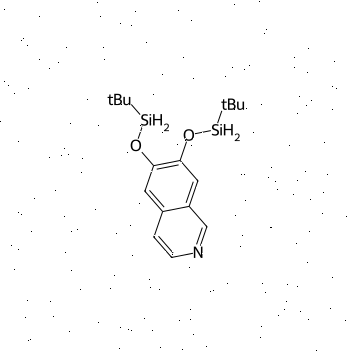 CC(C)(C)[SiH2]Oc1cc2ccncc2cc1O[SiH2]C(C)(C)C